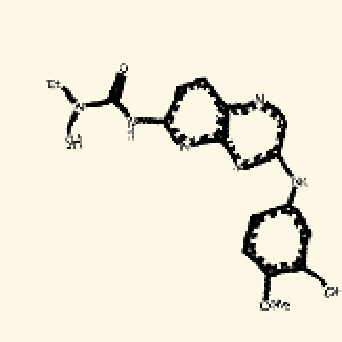 CCN(S)C(=O)Nc1ccc2ncc(Nc3ccc(OC)c(O)c3)nc2n1